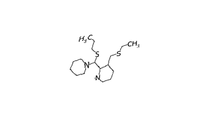 CCCSC(C1[N]CCCC1CSCC)N1CCCCC1